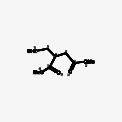 COC(=O)CC(CC=O)C(=O)OC